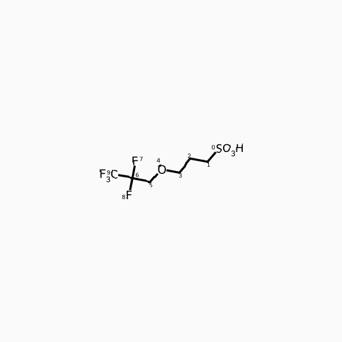 O=S(=O)(O)CCCOCC(F)(F)C(F)(F)F